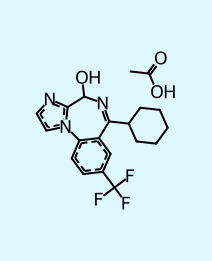 CC(=O)O.OC1N=C(C2CCCCC2)c2cc(C(F)(F)F)ccc2-n2ccnc21